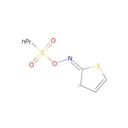 CCCS(=O)(=O)O/N=C1\[C]C=CS1